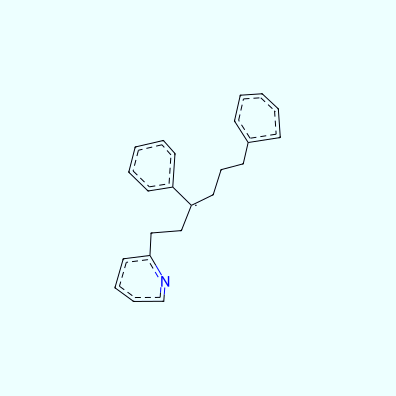 c1ccc(CCC[C](CCc2ccccn2)c2ccccc2)cc1